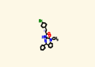 CN1C(=O)[C@H](NC(=O)/C=C/c2ccc(Br)cc2)N=C(c2ccccc2)c2ccccc21